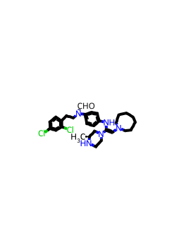 C[C@H]1CN(/C(=C/N2CCCCCCC2)Nc2ccc(N(C=O)CCc3ccc(Cl)cc3Cl)cc2)CCN1